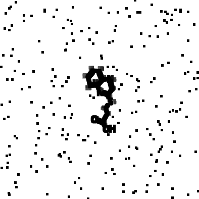 O=C(O)CCSc1cnc2ccccc2n1